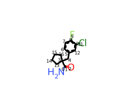 NC(=O)C1([CH]c2ccc(F)c(Cl)c2)CCCC1